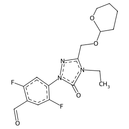 CCn1c(COC2CCCCO2)nn(-c2cc(F)c(C=O)cc2F)c1=O